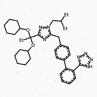 CCC(CC)Cn1nc(C(CC)(OC2CCCCC2)OC2CCCCC2)nc1Cc1ccc(-c2ccccc2-c2nnn[nH]2)cc1